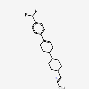 C/C=C/C1CCC(C2CC=C(c3ccc(C(F)F)cc3)CC2)CC1